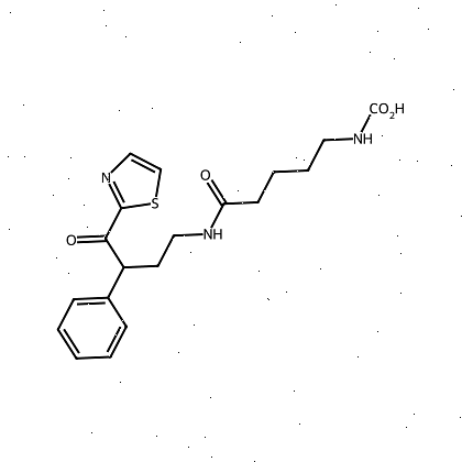 O=C(O)NCCCCC(=O)NCCC(C(=O)c1nccs1)c1ccccc1